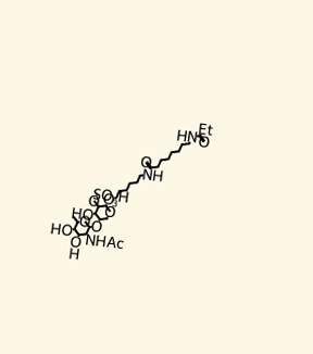 CCC(=O)NCCCCCCCC(=O)NCCCCCCOC1OCC(OC2OC(C)C(O)C(O)C2NC(C)=O)C(O)C1OS(=O)(=O)O